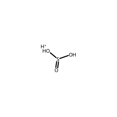 O=S(O)O.[H+]